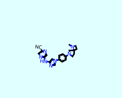 CN1CCC12CCN(c1ccc(-n3cnc(Nc4cnc(C#N)cn4)c3)cc1)C2